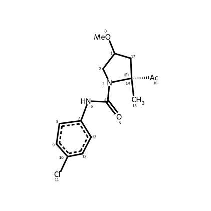 COC1CN(C(=O)Nc2ccc(Cl)cc2)[C@@](C)(C(C)=O)C1